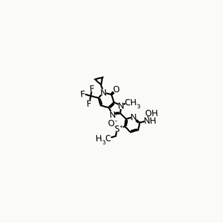 CC[S+]([O-])c1ccc(NO)nc1-c1nc2cc(C(F)(F)F)n(C3CC3)c(=O)c2n1C